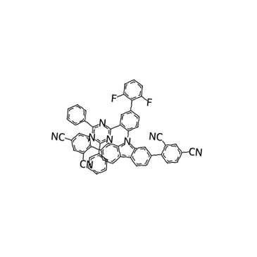 N#Cc1ccc(-c2ccc3c4ccc(-c5ccc(C#N)cc5C#N)cc4n(-c4ccc(-c5c(F)cccc5F)cc4-c4nc(-c5ccccc5)nc(-c5ccccc5)n4)c3c2)c(C#N)c1